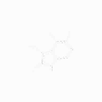 Cn1c(=O)[nH]c2cnc(Cl)c(F)c21